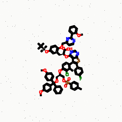 COc1ccc(C(OC[C@H](COS(=O)(=O)c2ccc(C)cc2)Oc2ccc(-c3c(-c4ccc(F)cc4)sc4ncnc(O[C@H](Cc5cc(O[Si](C)(C)C(C)(C)C)ccc5OCc5ccnc(-c6ccccc6OC)n5)C(=O)O)c34)c(C)c2Cl)(c2ccccc2)c2ccc(OC)cc2)cc1